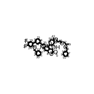 COC(=O)[C@@H](O)c1c(C)cc2nc(-c3cccc(-c4cc(F)c(F)cc4OCc4ccccc4)c3)cn2c1N1CCC(C)(OCCOC[C@@H](C)OCc2ccccc2)CC1